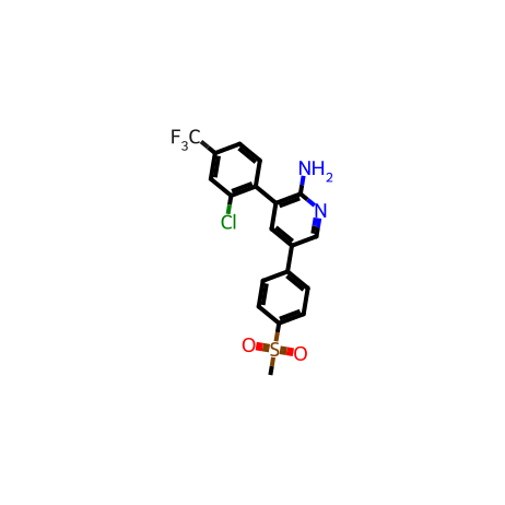 CS(=O)(=O)c1ccc(-c2cnc(N)c(-c3ccc(C(F)(F)F)cc3Cl)c2)cc1